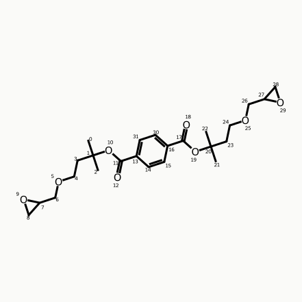 CC(C)(CCOCC1CO1)OC(=O)c1ccc(C(=O)OC(C)(C)CCOCC2CO2)cc1